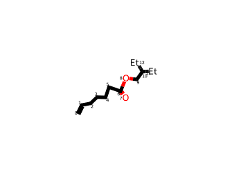 C=CCCCCC(=O)OCC(CC)CC